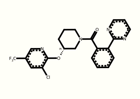 O=C(c1ccccc1-c1ncccn1)N1CCC[C@@H](Oc2ncc(C(F)(F)F)cc2Cl)C1